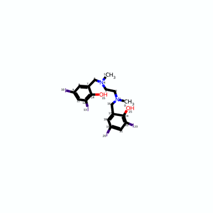 CN(CCN(C)Cc1cc(I)cc(I)c1O)Cc1cc(I)cc(I)c1O